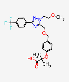 COCCn1nc(-c2ccc(C(F)(F)F)cc2)nc1COCc1ccc(OC(C)(C)C(=O)O)cc1